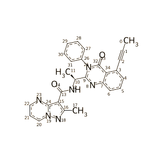 CC#Cc1cccc2nc([C@H](C)NC(=O)c3c(C)nn4cccnc34)n(-c3ccccc3)c(=O)c12